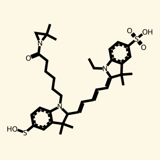 CCN1\C(=C/C=C/C=C/C2N(CCCCCC(=O)N3CC3(C)C)c3ccc(SO)cc3C2(C)C)C(C)(C)c2cc(S(=O)(=O)O)ccc21